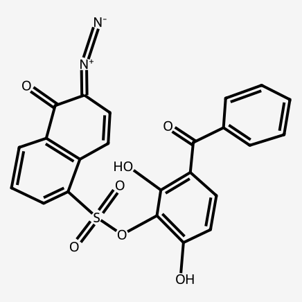 [N-]=[N+]=C1C=Cc2c(cccc2S(=O)(=O)Oc2c(O)ccc(C(=O)c3ccccc3)c2O)C1=O